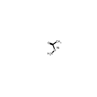 CC(=O)ON.[Ni]